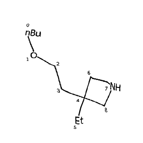 CCCCOCCC1(CC)CNC1